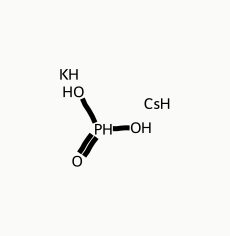 O=[PH](O)O.[CsH].[KH]